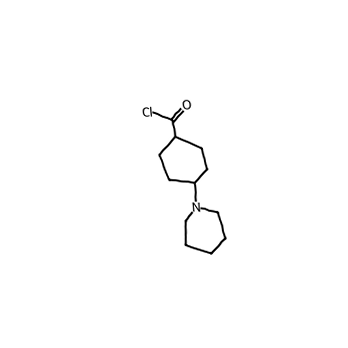 O=C(Cl)C1CCC(N2CCCCC2)CC1